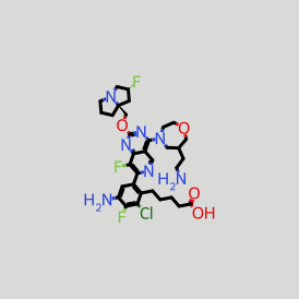 NCCC1COCCN(c2nc(OC[C@@]34CCCN3C[C@H](F)C4)nc3c(F)c(-c4cc(N)c(F)c(Cl)c4CCCCC(=O)O)ncc23)C1